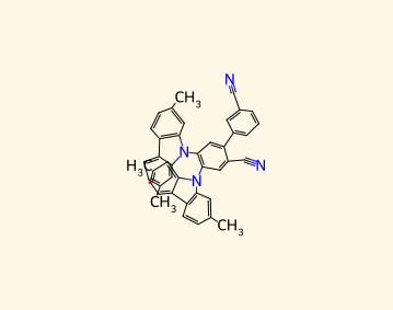 Cc1ccc2c3ccc(C)cc3n(-c3cc(C#N)c(-c4cccc(C#N)c4)cc3-n3c4cc(C)ccc4c4ccc(C)cc43)c2c1